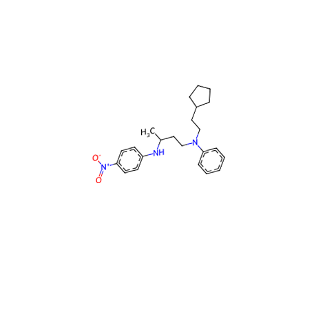 CC(CCN(CCC1CCCC1)c1ccccc1)Nc1ccc([N+](=O)[O-])cc1